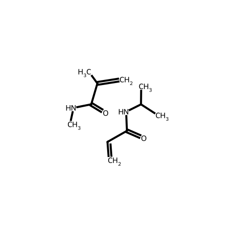 C=C(C)C(=O)NC.C=CC(=O)NC(C)C